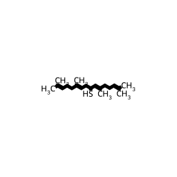 CC(C)=CCC/C(C)=C/CC(S)/C=C(\C)CCC=C(C)C